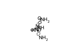 Cc1cc(C(N)=O)ccc1-c1c[nH]c([C@H](Cc2ccccc2)NC(=O)[C@H]2CC[C@H](CN)CC2)n1